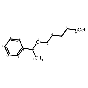 CCCCCCCCCCCCOC(C)c1ccccc1